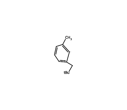 Cc1[c]c(CC(C)(C)C)ccc1